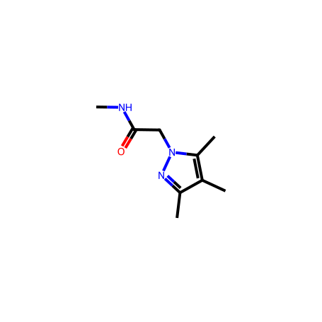 CNC(=O)Cn1nc(C)c(C)c1C